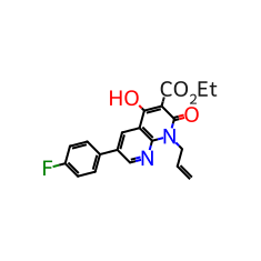 C=CCn1c(=O)c(C(=O)OCC)c(O)c2cc(-c3ccc(F)cc3)cnc21